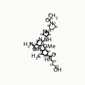 C=CC(=O)N1CCC[C@H](n2cc(Nc3ncc(C(N)=O)c(Nc4c(C)cc(C(=O)NCCCO)cc4OC)n3)cn2)C1